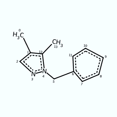 Cc1cnn(Cc2ccccc2)c1C